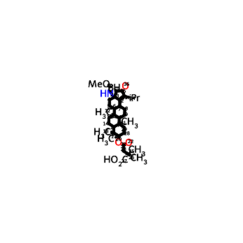 COBNC12CCC3C(CCC4[C@@]3(C)CCC3C(C)(C)[C@@H](OC(=O)CC(C)(C)C(=O)O)CC[C@@]34C)C1=C(C(C)C)C(=O)C2